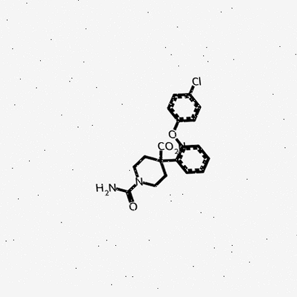 NC(=O)N1CCC(C(=O)O)(c2ccccc2Oc2ccc(Cl)cc2)CC1